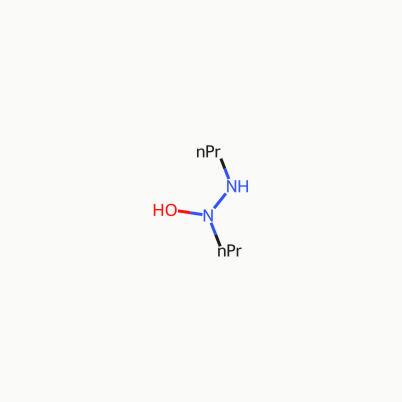 CCCNN(O)CCC